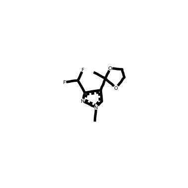 Cn1cc(C2(C)OCCO2)c(C(F)F)n1